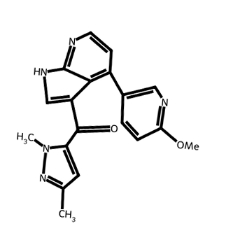 COc1ccc(-c2ccnc3[nH]cc(C(=O)c4cc(C)nn4C)c23)cn1